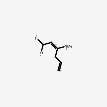 C=CC/C(=C\C(CC)CC)NC